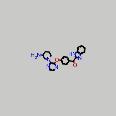 NC1CCCN(c2nccnc2Oc2ccc(C(=O)c3nc4ccccc4[nH]3)cc2)C1